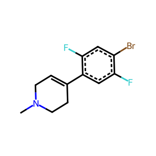 CN1CC=C(c2cc(F)c(Br)cc2F)CC1